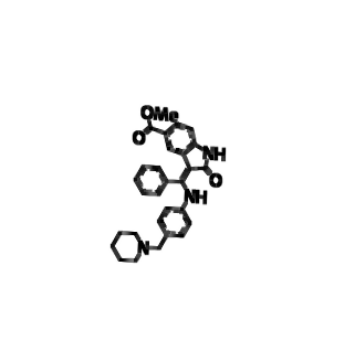 COC(=O)c1ccc2c(c1)/C(=C(/Nc1ccc(CN3CCCCC3)cc1)c1ccccc1)C(=O)N2